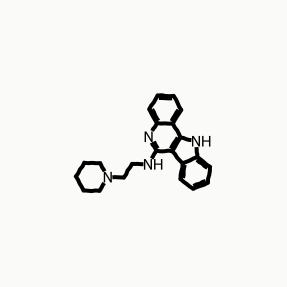 c1ccc2c(c1)nc(NCCN1CCCCC1)c1c3ccccc3[nH]c21